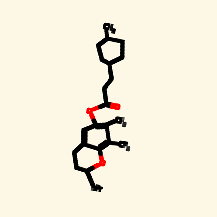 CCCC1CCc2cc(OC(=O)CCC3CCC(C)CC3)c(C(F)(F)F)c(C(F)(F)F)c2O1